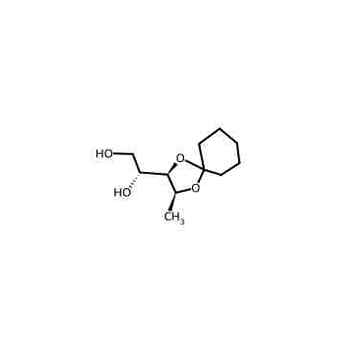 C[C@@H]1OC2(CCCCC2)O[C@@H]1[C@H](O)CO